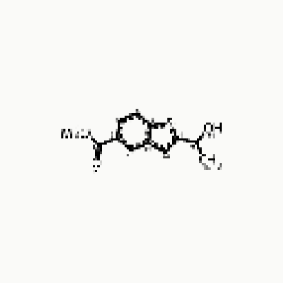 COC(=O)c1ccc2sc(C(C)O)cc2c1